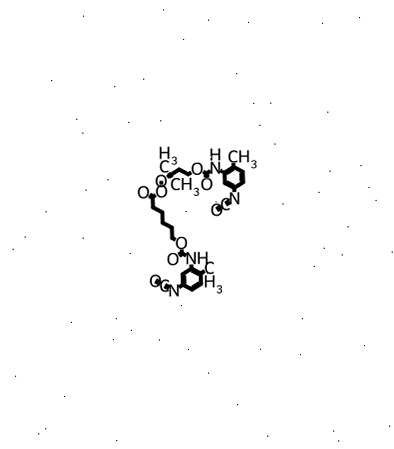 Cc1ccc(N=C=O)cc1NC(=O)OCCCCCC(=O)OOC(C)(C)CCOC(=O)Nc1cc(N=C=O)ccc1C